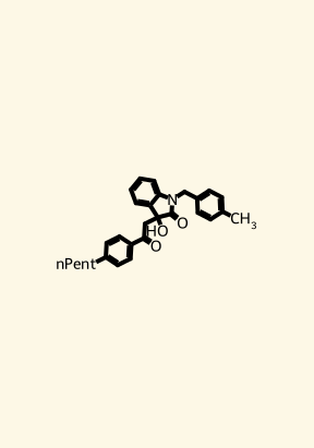 CCCCCc1ccc(C(=O)CC2(O)C(=O)N(Cc3ccc(C)cc3)c3ccccc32)cc1